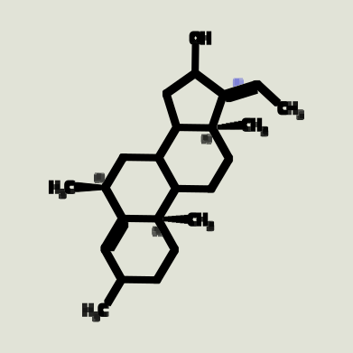 C/C=C1/C(O)CC2C3C[C@H](C)C4=CC(C)CC[C@]4(C)C3CC[C@]12C